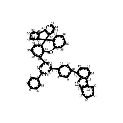 c1ccc(-c2nc(-c3ccc(-c4cccc5c4oc4ccccc45)cc3)nc(-c3cccc4c3Oc3ccccc3C43c4ccccc4-c4ccccc43)n2)cc1